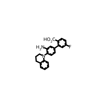 Nc1cc(-c2cc(F)ccc2C(=O)O)ccc1N1CCCc2ccccc21